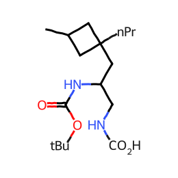 CCCC1(CC(CNC(=O)O)NC(=O)OC(C)(C)C)CC(C)C1